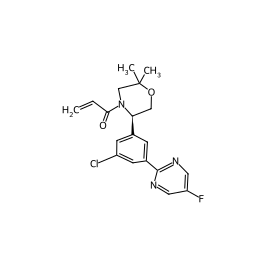 C=CC(=O)N1CC(C)(C)OC[C@H]1c1cc(Cl)cc(-c2ncc(F)cn2)c1